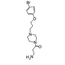 NCCC(=O)N1CCN(CCCOc2ccc(Br)cc2)CC1